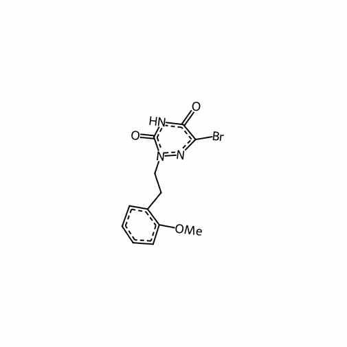 COc1ccccc1CCn1nc(Br)c(=O)[nH]c1=O